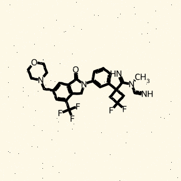 CN(C=N)C(=N)C1(c2cccc(N3Cc4c(cc(CN5CCOCC5)cc4C(F)(F)F)C3=O)c2)CC(F)(F)C1